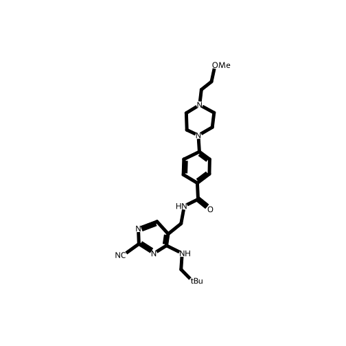 COCCN1CCN(c2ccc(C(=O)NCc3cnc(C#N)nc3NCC(C)(C)C)cc2)CC1